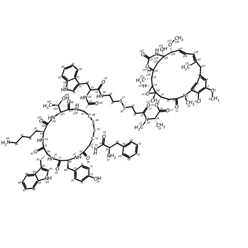 COc1cc2cc(c1Cl)N(C)C(=O)C[C@H](OC(=O)[C@H](C)N(C)C(=O)CCSSCCNC(=O)C(Cc1c[nH]c3ccccc13)NC(=O)[C@@H]1CSSC[C@H](NC(=O)[C@H](N)Cc3ccccc3)C(=O)N[C@@H](Cc3ccc(O)cc3)C(=O)N[C@H](Cc3c[nH]c4ccccc34)C(=O)N[C@@H](CCCCN)C(=O)N[C@@H]([C@@H](C)O)C(=O)N1)[C@]1(C)O[C@H]1[C@H](C)[C@@H]1C[C@@](O)(NC(=O)O1)[C@H](OC)/C=C/C=C(\C)C2